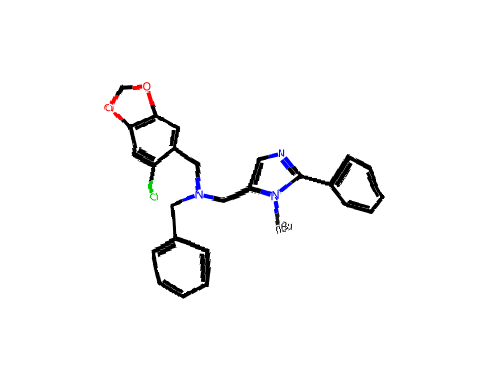 CCCCn1c(CN(Cc2ccccc2)Cc2cc3c(cc2Cl)OCO3)cnc1-c1ccccc1